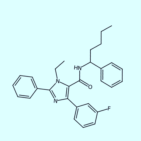 CCCCC(NC(=O)c1c(-c2cccc(F)c2)nc(-c2ccccc2)n1CC)c1ccccc1